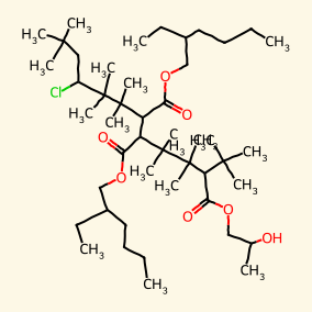 CCCCC(CC)COC(=O)C(C(C(=O)OCC(CC)CCCC)C(C)(C)C(C)(C)C(C(=O)OCC(C)O)C(C)(C)C)C(C)(C)C(C)(C)C(Cl)CC(C)(C)C